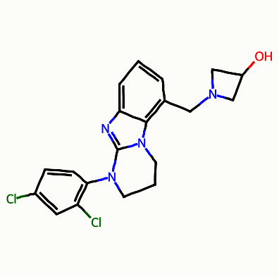 OC1CN(Cc2cccc3nc4n(c23)CCCN4c2ccc(Cl)cc2Cl)C1